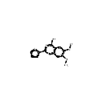 COc1cc2nc(-c3cccs3)nc(O)c2cc1OC